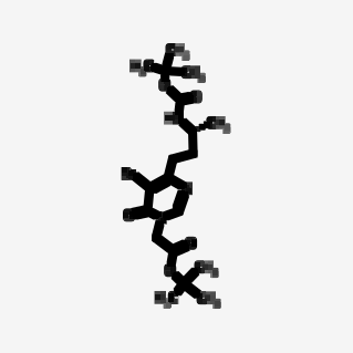 C[C@H](CCc1ncn(CC(=O)OC(C)(C)C)c(=O)c1Br)NC(=O)OC(C)(C)C